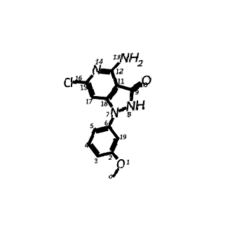 COc1cccc(-n2[nH]c(=O)c3c(N)nc(Cl)cc32)c1